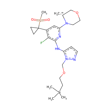 C[C@@H]1COCCN1c1cc(C2(S(C)(=O)=O)CC2)c(F)c(Nc2ccnn2COCC[Si](C)(C)C)n1